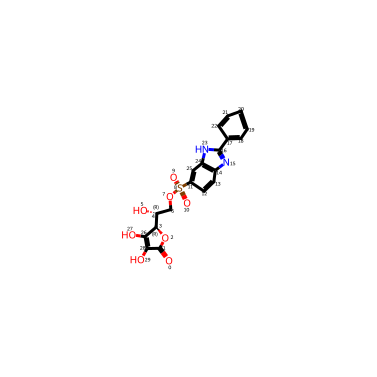 O=C1O[C@H]([C@H](O)COS(=O)(=O)c2ccc3nc(-c4ccccc4)[nH]c3c2)C(O)=C1O